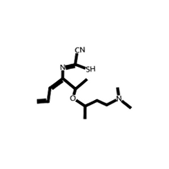 C=C/C=C(/N=C(\S)C#N)C(C)OC(C)CCN(C)C